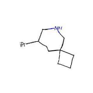 CC(C)C1CNCC2(CCC2)C1